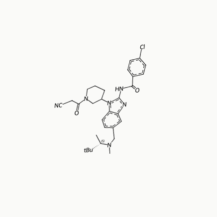 C[C@H](N(C)Cc1ccc2c(c1)nc(NC(=O)c1ccc(Cl)cc1)n2C1CCCN(C(=O)CC#N)C1)C(C)(C)C